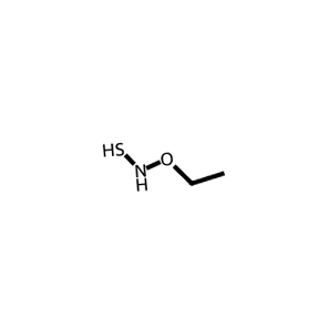 CCONS